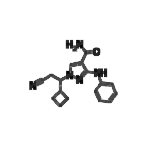 N#CCC(C1CCC1)n1cc(C(N)=O)c(Nc2ccccc2)n1